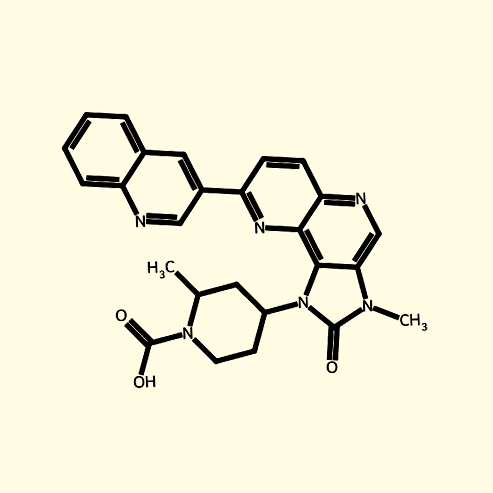 CC1CC(n2c(=O)n(C)c3cnc4ccc(-c5cnc6ccccc6c5)nc4c32)CCN1C(=O)O